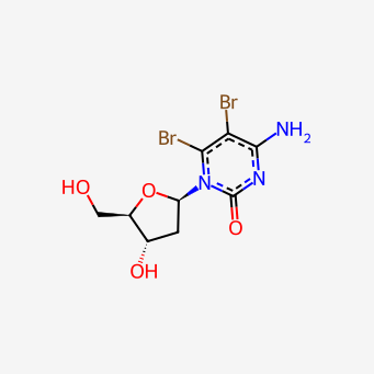 Nc1nc(=O)n([C@H]2C[C@H](O)[C@@H](CO)O2)c(Br)c1Br